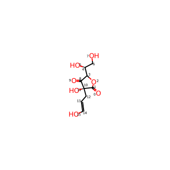 O=C1OC([C@@H](O)CO)C(=O)[C@@]1(O)C/C=C/O